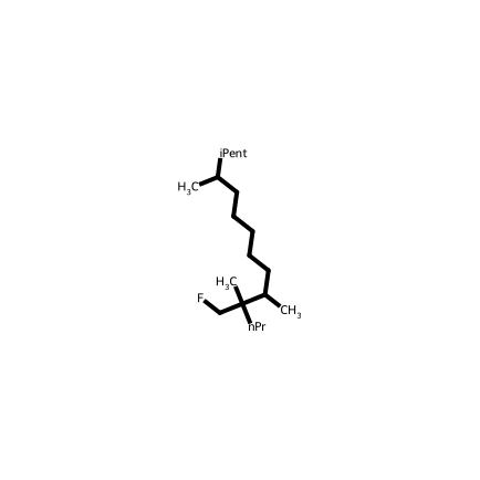 CCCC(C)C(C)CCCCCC(C)C(C)(CF)CCC